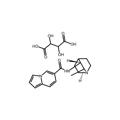 C[C@H]1[C@H](NC(=O)c2ccc3cccn3c2)C2CCN1CC2.O=C(O)C(O)C(O)C(=O)O